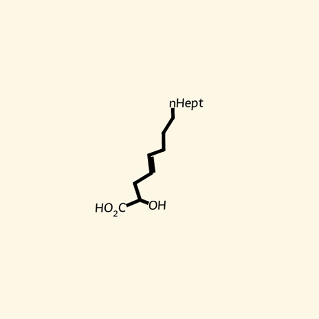 CCCCCCCCCCC=CCC(O)C(=O)O